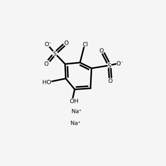 O=S(=O)([O-])c1cc(O)c(O)c(S(=O)(=O)[O-])c1Cl.[Na+].[Na+]